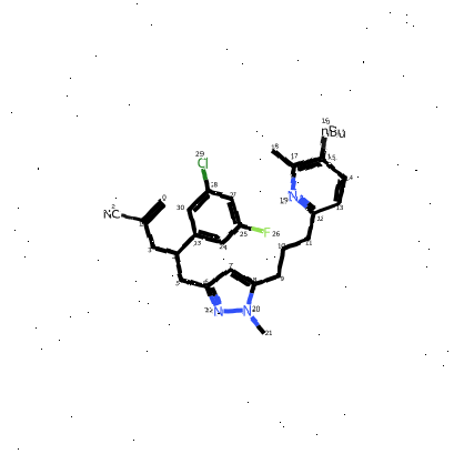 C=C(C#N)CC(Cc1cc(CCCc2ccc(CCCC)c(C)n2)n(C)n1)c1cc(F)cc(Cl)c1